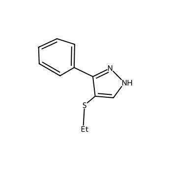 CCSc1c[nH]nc1-c1ccccc1